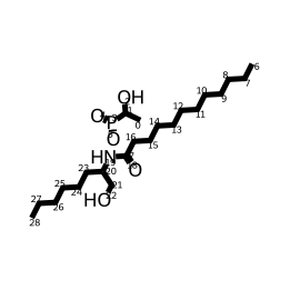 CC(O)P(=O)=O.CCCCCCCCCCCC(=O)NC(CO)CCCCCC